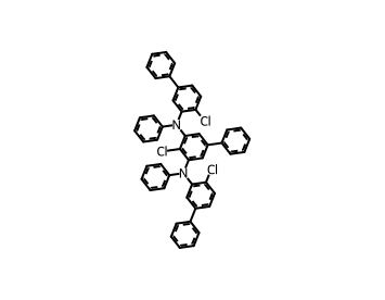 Clc1ccc(-c2ccccc2)cc1N(c1ccccc1)c1cc(-c2ccccc2)cc(N(c2ccccc2)c2cc(-c3ccccc3)ccc2Cl)c1Cl